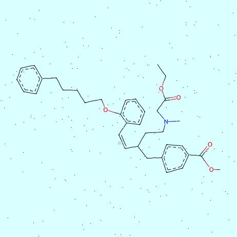 CCOC(=O)CN(C)CCC(/C=C\c1ccccc1OCCCCCc1ccccc1)Cc1ccc(C(=O)OC)cc1